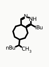 CCCCC(C)C1CCCC2C=NNC(C(C)CC)=C2CC1